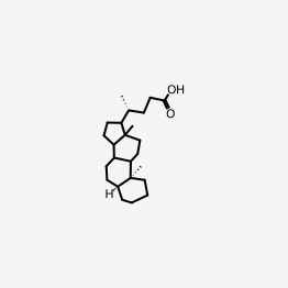 C[C@H](CCC(=O)O)C1CCC2C3CC[C@@H]4CCCC[C@]4(C)C3CCC21C